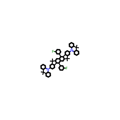 CC1(C)c2ccccc2N(c2ccc3c(c2)C(C)(C)c2cc4c(-c5cccc(F)c5)c5c(cc4c(-c4cccc(F)c4)c2-3)C(C)(C)c2cc(N3c4ccccc4C(C)(C)c4ccccc43)ccc2-5)c2ccccc21